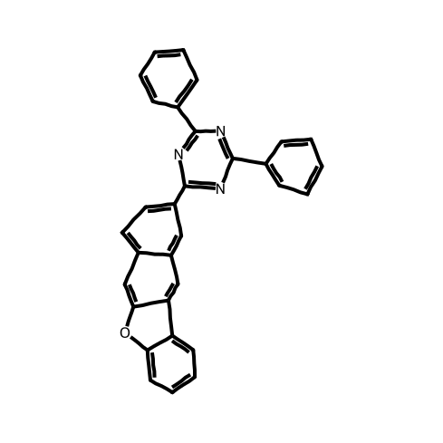 c1ccc(-c2nc(-c3ccccc3)nc(-c3ccc4cc5oc6ccccc6c5cc4c3)n2)cc1